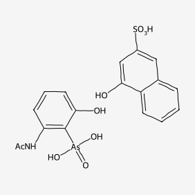 CC(=O)Nc1cccc(O)c1[As](=O)(O)O.O=S(=O)(O)c1cc(O)c2ccccc2c1